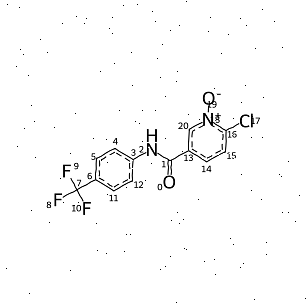 O=C(Nc1ccc(C(F)(F)F)cc1)c1ccc(Cl)[n+]([O-])c1